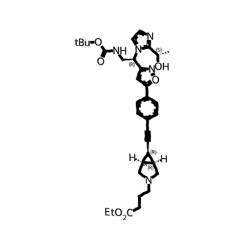 CCOC(=O)CCCN1C[C@@H]2[C@H](C#Cc3ccc(-c4cc([C@@H](CNC(=O)OC(C)(C)C)n5ccnc5[C@H](C)O)no4)cc3)[C@@H]2C1